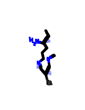 C=N/C=C(\C=N/CCC/C(N)=C/C)CC